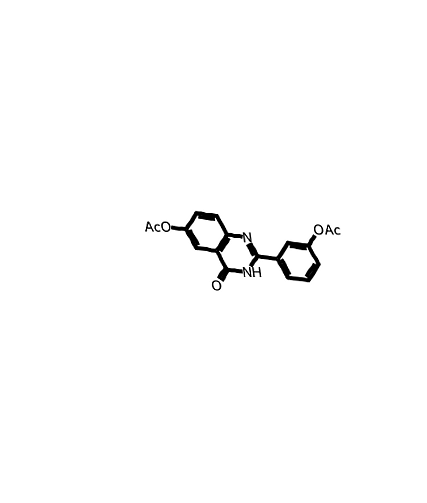 CC(=O)Oc1cccc(-c2nc3ccc(OC(C)=O)cc3c(=O)[nH]2)c1